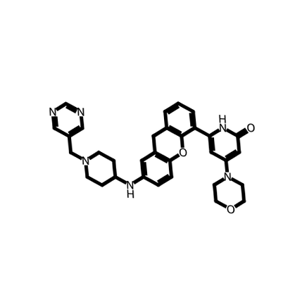 O=c1cc(N2CCOCC2)cc(-c2cccc3c2Oc2ccc(NC4CCN(Cc5cncnc5)CC4)cc2C3)[nH]1